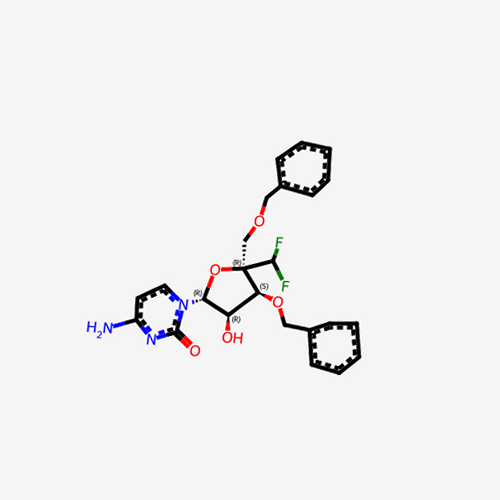 Nc1ccn([C@@H]2O[C@@](COCc3ccccc3)(C(F)F)[C@@H](OCc3ccccc3)[C@H]2O)c(=O)n1